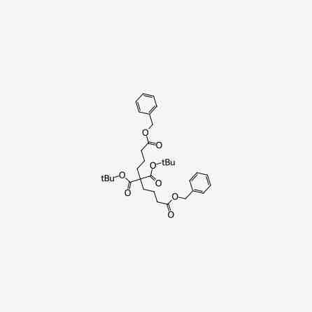 CC(C)(C)OC(=O)C(CCCC(=O)OCc1ccccc1)(CCCC(=O)OCc1ccccc1)C(=O)OC(C)(C)C